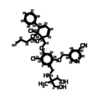 CC(CO)(CO)NCc1cc(Cl)c(OCC2(OCCCI)C=CC=C(c3ccccc3)C2(Cl)Cl)cc1OCc1cncc(C#N)c1